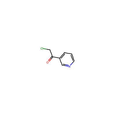 O=C(CCl)c1cccnc1